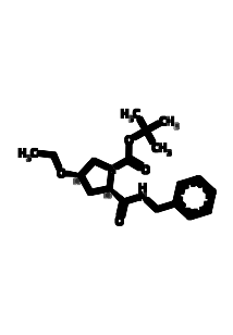 CCO[C@@H]1C[C@H](C(=O)NCc2ccccc2)N(C(=O)OC(C)(C)C)C1